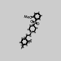 COc1ccccc1S(=O)(=O)C1CCN(CCc2ccc(F)cc2F)CC1